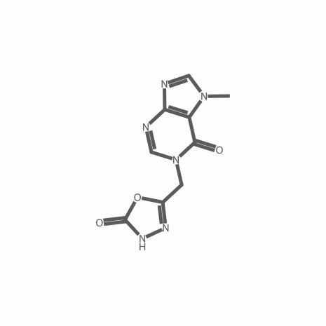 Cn1cnc2ncn(Cc3n[nH]c(=O)o3)c(=O)c21